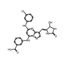 O=C1N/C(=C\c2cnn3c(Nc4cccc(C(=O)O)c4)cc(Nc4cccc(Cl)c4)nc23)C(O)N1